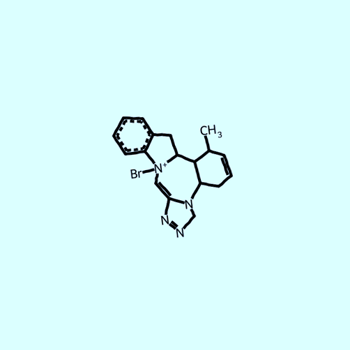 CC1C=CCC2C1C1Cc3ccccc3[N+]1(Br)C=C1N=NCN12